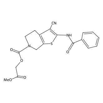 COC(=O)COC(=O)N1CCc2c(sc(NC(=O)c3ccccc3)c2C#N)C1